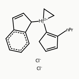 CCCC1=[C]([Hf+2]2([CH]3C=Cc4ccccc43)[CH2][CH2]2)CC=C1.[Cl-].[Cl-]